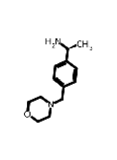 C[C@H](N)c1ccc(CN2CCOCC2)cc1